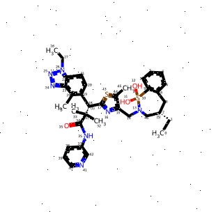 CC[C@H]1Cc2ccccc2S(O)(O)N(Cc2nc([C@@H](c3ccc4c(nnn4CC)c3C)C(C)(C)C(=O)Nc3cccnc3)sc2C)C1